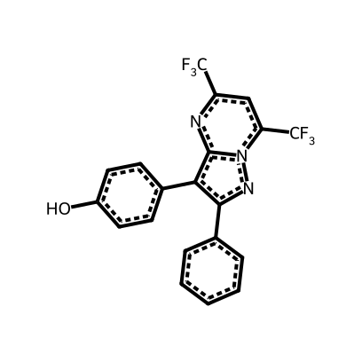 Oc1ccc(-c2c(-c3ccccc3)nn3c(C(F)(F)F)cc(C(F)(F)F)nc23)cc1